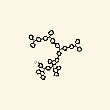 Brc1ccc(N(c2ccc(N(c3cc4ccccc4c4ccccc34)c3cc4ccc(-c5ccc(N(c6ccc(-c7ccc(N(c8ccccc8)c8ccccc8)cc7)cc6)c6ccc(-c7ccc(N(c8ccccc8)c8ccc(-c9ccc(N(c%10ccccc%10)c%10ccccc%10)cc9)cc8)cc7)cc6)cc5)cc4c4ccccc34)cc2)c2cc3ccccc3c3ccccc23)cc1